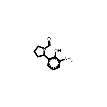 Nc1cccc(C2CCCN2C=O)c1O